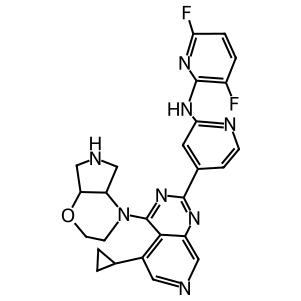 Fc1ccc(F)c(Nc2cc(-c3nc(N4CCOC5CNCC54)c4c(C5CC5)cncc4n3)ccn2)n1